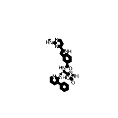 CNc1nccc(-c2cc3cc(C(=O)N[C@@H](CNc4ncccc4-c4ccccc4)c4n[nH]c(=O)o4)ccc3[nH]2)n1